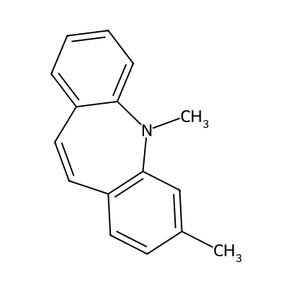 Cc1ccc2c(c1)N(C)c1ccccc1C=C2